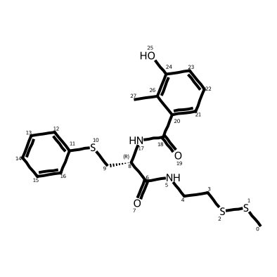 CSSCCNC(=O)[C@H](CSc1ccccc1)NC(=O)c1cccc(O)c1C